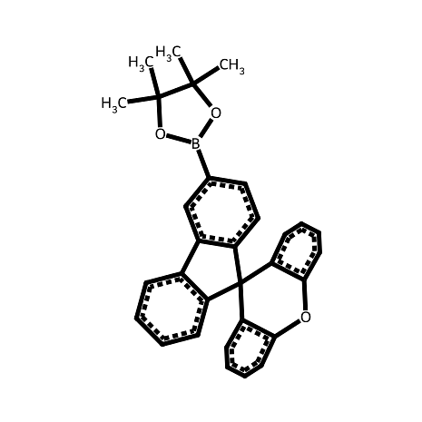 CC1(C)OB(c2ccc3c(c2)-c2ccccc2C32c3ccccc3Oc3ccccc32)OC1(C)C